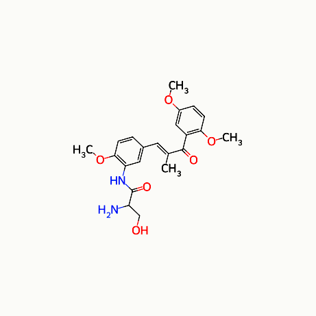 COc1ccc(OC)c(C(=O)C(C)=Cc2ccc(OC)c(NC(=O)C(N)CO)c2)c1